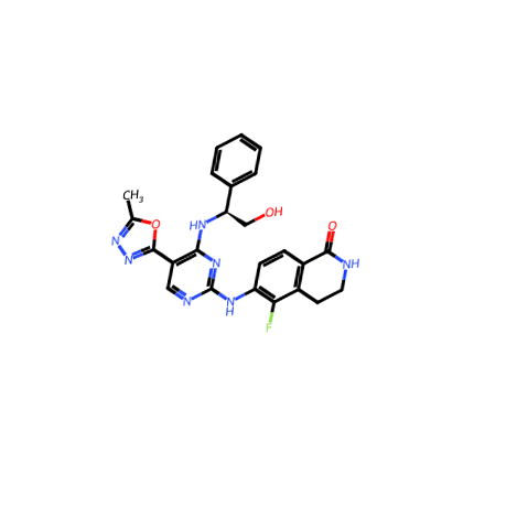 Cc1nnc(-c2cnc(Nc3ccc4c(c3F)CCNC4=O)nc2N[C@H](CO)c2ccccc2)o1